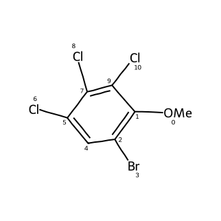 COc1c(Br)cc(Cl)c(Cl)c1Cl